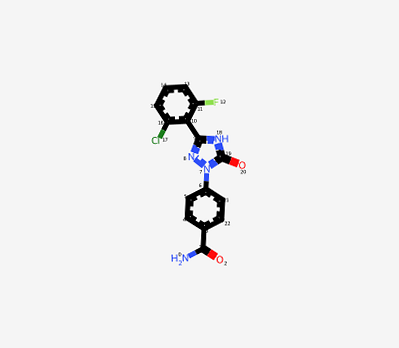 NC(=O)c1ccc(-n2nc(-c3c(F)cccc3Cl)[nH]c2=O)cc1